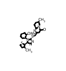 COc1ccccc1-n1c(SCc2cc(=O)n3cc(C)ccc3n2)nnc1-c1sccc1C